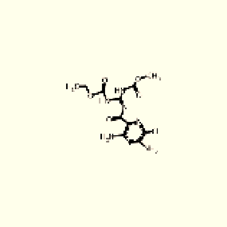 CCOC(=O)N/C(=N\C(=O)c1nc(Cl)c(N)nc1N)NC(=O)OC